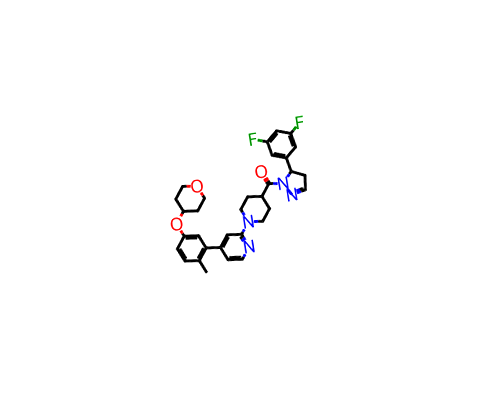 Cc1ccc(OC2CCOCC2)cc1-c1ccnc(N2CCC(C(=O)N3N=CCC3c3cc(F)cc(F)c3)CC2)c1